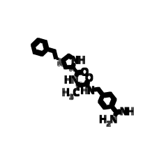 C[C@H](NC(=O)[C@H]1C[C@H](CCc2ccccc2)CN1)C(=O)NCc1ccc(C(=N)N)cc1